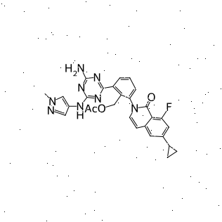 CC(=O)OCc1c(-c2nc(N)nc(Nc3cnn(C)c3)n2)cccc1-n1ccc2cc(C3CC3)cc(F)c2c1=O